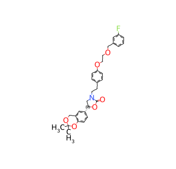 CC1(C)OCc2cc([C@@H]3CN(CCc4ccc(OCCOCc5cccc(F)c5)cc4)C(=O)O3)ccc2O1